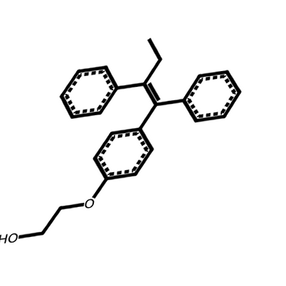 CC/C(=C(\c1ccccc1)c1ccc(OCCO)cc1)c1ccccc1